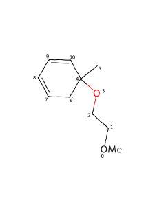 COCCOC1(C)[CH]C=CC=C1